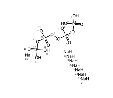 O=P(O)(O)OP(=O)(O)OOP(=O)(O)OP(=O)(O)O.[NaH].[NaH].[NaH].[NaH].[NaH].[NaH].[NaH].[NaH]